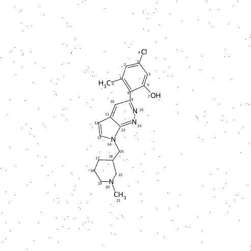 Cc1cc(Cl)cc(O)c1-c1cc2ccn(CC3CCCN(C)C3)c2nn1